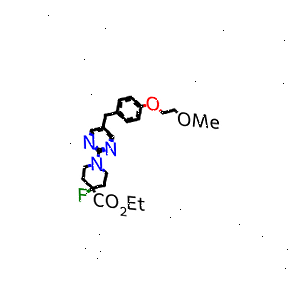 CCOC(=O)C1(F)CCN(c2ncc(Cc3ccc(OCCOC)cc3)cn2)CC1